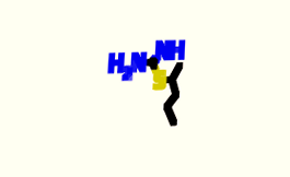 CCCC(C)SC(=N)N